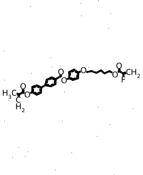 C=C(C)C(=O)Oc1ccc(-c2ccc(C(=O)Oc3ccc(OCCCCCCOC(=O)C(=C)F)cc3)cc2)cc1